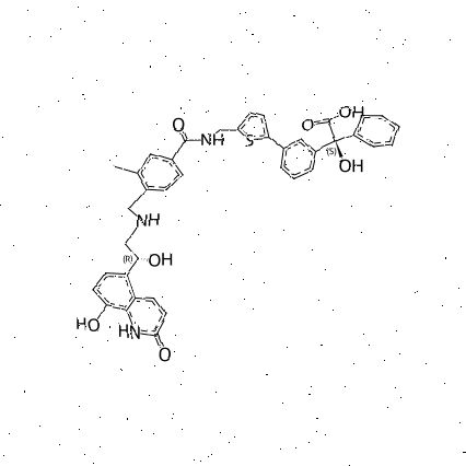 Cc1cc(C(=O)NCc2ccc(-c3cccc([C@](O)(C(=O)O)c4ccccc4)c3)s2)ccc1CNC[C@H](O)c1ccc(O)c2[nH]c(=O)ccc12